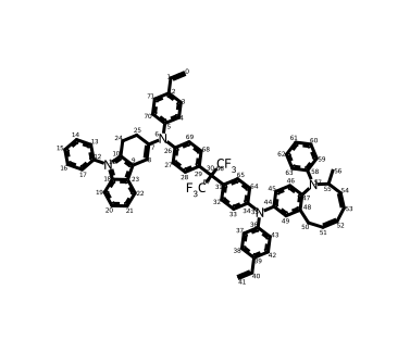 C=Cc1ccc(N(C2=Cc3c(n(-c4ccccc4)c4ccccc34)CC2)c2ccc(C(c3ccc(N(c4ccc(C=C)cc4)c4ccc5c(c4)C/C=C\C=C/C(C)N5c4ccccc4)cc3)(C(F)(F)F)C(F)(F)F)cc2)cc1